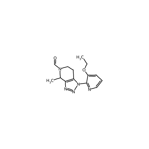 CCOc1cccnc1-n1nnc2c1CCN(C=O)C2C